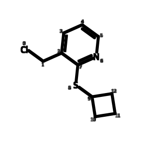 ClCc1cccnc1SC1CCC1